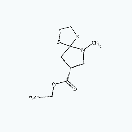 CCOC(=O)[C@H]1CN(C)C2(C1)SCCS2